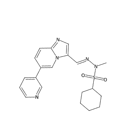 CN(N=Cc1cnc2ccc(-c3cccnc3)cn12)S(=O)(=O)C1CCCCC1